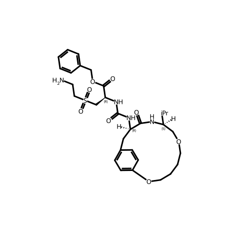 CC(C)[C@H]1COCCCCOc2ccc(cc2)C[C@@H](NC(=O)N[C@@H](CS(=O)(=O)CCN)C(=O)OCc2ccccc2)C(=O)N1